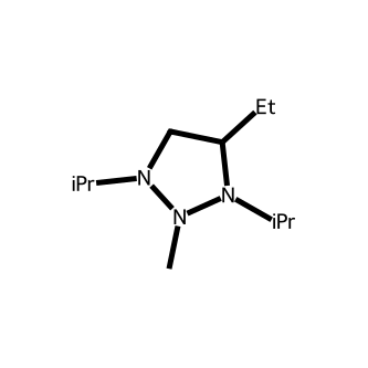 CCC1CN(C(C)C)N(C)N1C(C)C